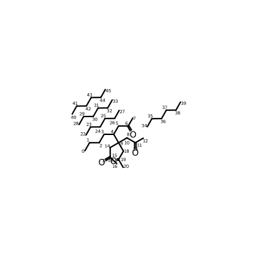 CCCCC(CC(C)=O)C(CC(C)=O)(CC(C)=O)CC(C)=O.CCCCCC.CCCCCC.CCCCCC.CCCCCC